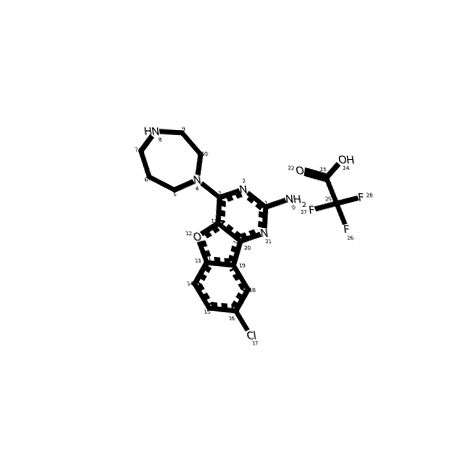 Nc1nc(N2CCCNCC2)c2oc3ccc(Cl)cc3c2n1.O=C(O)C(F)(F)F